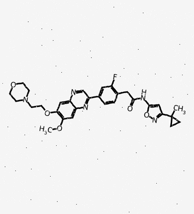 COc1cc2nc(-c3ccc(CC(=O)Nc4cc(C5(C)CC5)no4)c(F)c3)cnc2cc1OCCN1CCOCC1